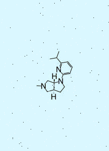 CC(C)c1cccc(N2CC[C@H]3CN(C)C[C@@H]32)n1